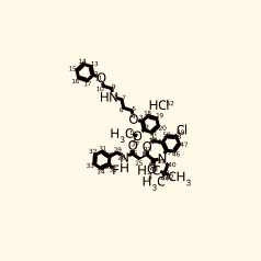 COc1c(OCCCNCCOc2ccccc2)cccc1[C@H]1O[C@H](CC(=O)NCc2ccccc2F)C(=O)N(CC(C)(C)C)c2ccc(Cl)cc21.Cl